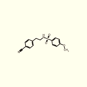 COc1ccc(S(=O)(=O)NCCc2ccc(C#N)cc2)cc1